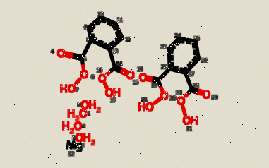 O.O.O.O.O=C(OO)c1ccccc1C(=O)OO.O=C(OO)c1ccccc1C(=O)OO.[Mg]